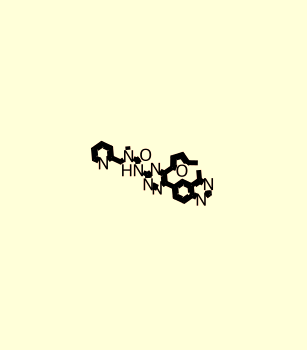 Cc1ccc(-c2nc(NC(=O)N(C)Cc3ccccn3)nnc2-c2ccc3ncnc(C)c3c2)o1